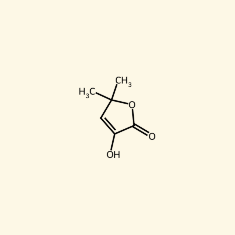 CC1(C)C=C(O)C(=O)O1